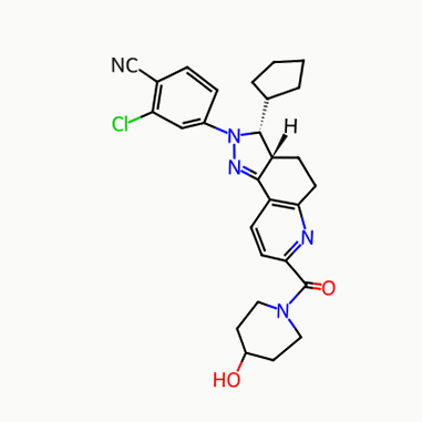 N#Cc1ccc(N2N=C3c4ccc(C(=O)N5CCC(O)CC5)nc4CC[C@H]3[C@H]2C2CCCC2)cc1Cl